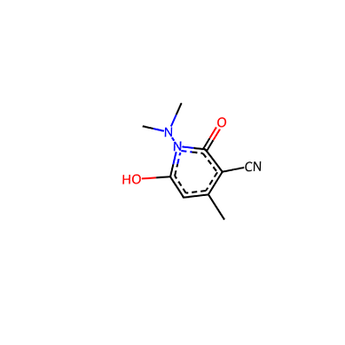 Cc1cc(O)n(N(C)C)c(=O)c1C#N